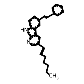 CCCCCC=Cc1cnc2[nH]c3ccc(C=Cc4ccccc4)cc3c2c1